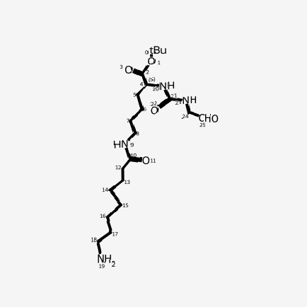 CC(C)(C)OC(=O)[C@H](CCCCNC(=O)CCCCCCCN)NC(=O)NCC=O